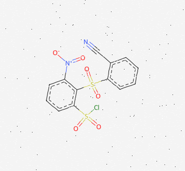 N#Cc1ccccc1S(=O)(=O)c1c([N+](=O)[O-])cccc1S(=O)(=O)Cl